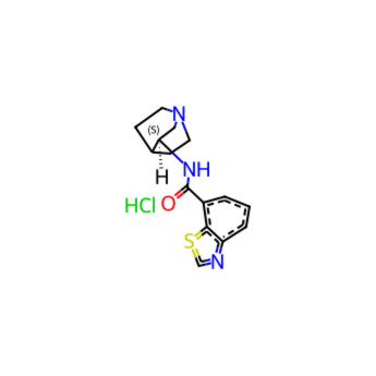 Cl.O=C(N[C@@H]1CN2CCC1CC2)c1cccc2ncsc12